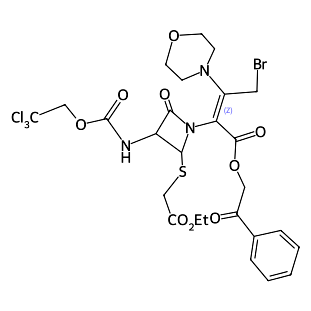 CCOC(=O)CSC1C(NC(=O)OCC(Cl)(Cl)Cl)C(=O)N1/C(C(=O)OCC(=O)c1ccccc1)=C(/CBr)N1CCOCC1